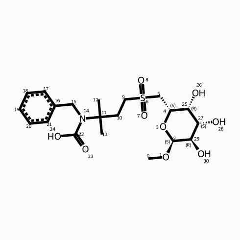 CO[C@H]1O[C@H](CS(=O)(=O)CCC(C)(C)N(Cc2ccccc2)C(=O)O)[C@H](O)[C@H](O)[C@H]1O